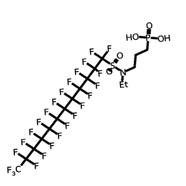 CCN(CCCP(=O)(O)O)S(=O)(=O)C(F)(F)C(F)(F)C(F)(F)C(F)(F)C(F)(F)C(F)(F)C(F)(F)C(F)(F)C(F)(F)C(F)(F)C(F)(F)C(F)(F)F